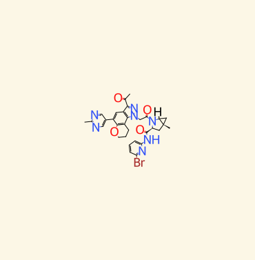 CC(=O)c1nn(CC(=O)N2[C@H](C(=O)Nc3cccc(Br)n3)C[C@@]3(C)C[C@@H]23)c2c3c(c(-c4cnc(C)nc4)cc12)OCCC3